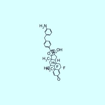 C[C@]12C=CC(=O)C=C1[C@@H](F)C[C@H]1[C@@H]3CC4O[C@H](c5ccc(Cc6cccc(N)c6)cc5)O[C@@]4(C(=O)CO)[C@@]3(C)C[C@H](O)[C@@]12F